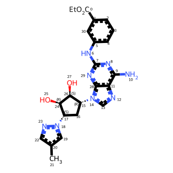 CCOC(=O)c1cccc(Nc2nc(N)c3ncn([C@@H]4C[C@H](n5cc(C)cn5)[C@@H](O)[C@H]4O)c3n2)c1